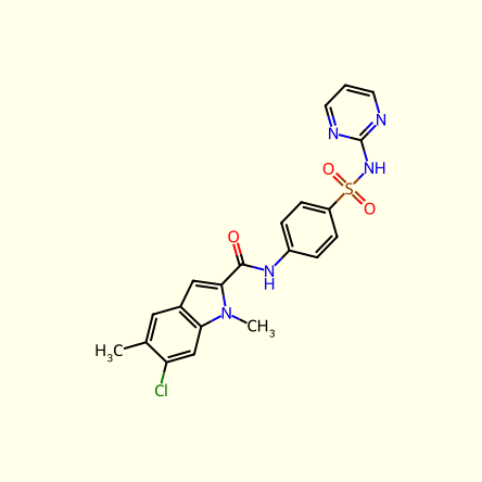 Cc1cc2cc(C(=O)Nc3ccc(S(=O)(=O)Nc4ncccn4)cc3)n(C)c2cc1Cl